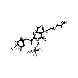 CC(C)COP(=O)(O)OCn1c(NCc2ccc(Cl)c(Cl)c2)nc2cnn(CCOCCO)c2c1=O